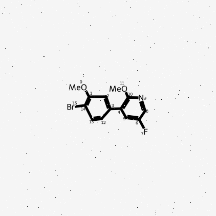 COc1cc(-c2cc(F)cnc2OC)ccc1Br